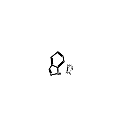 NN.O.c1ccc2[nH]ncc2c1